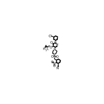 CC1(COc2c(N3CCN(S(=O)(=O)Cc4cccc(C#N)c4[N+](=O)[O-])CC3)cnn(-c3cccc(Cl)c3)c2=O)CC1